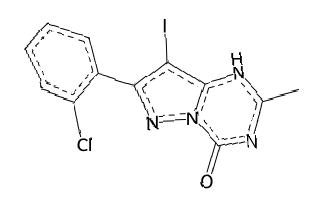 Cc1nc(=O)n2nc(-c3ccccc3Cl)c(I)c2[nH]1